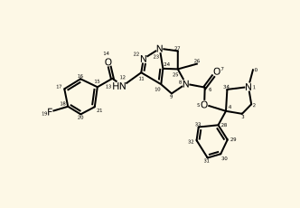 CN1CCC(OC(=O)N2Cc3c(NC(=O)c4ccc(F)cc4)nn4c3C2(C)C4)(c2ccccc2)C1